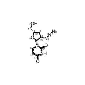 [N-]=[N+]=N[C@@H]1C[C@@H](CO)O[C@H]1n1ccc(=O)[nH]c1=O